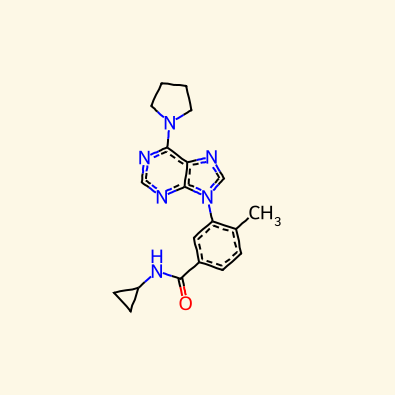 Cc1ccc(C(=O)NC2CC2)cc1-n1cnc2c(N3CCCC3)ncnc21